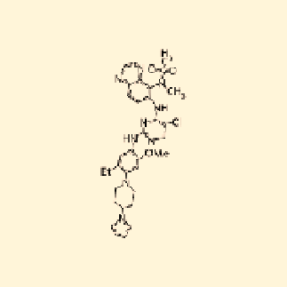 CCc1cc(Nc2ncc(Cl)c(Nc3ccc4nccnc4c3N(C)S(C)(=O)=O)n2)c(OC)cc1N1CCC(n2cccc2)CC1